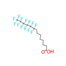 O=C(O)CCCCCCCC(F)(F)C(F)(F)C(F)(F)C(F)(F)C(F)(F)C(F)(F)F